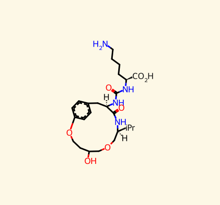 CC(C)[C@H]1COCC(O)CCOc2ccc(cc2)C[C@@H](NC(=O)N[C@@H](CCCCN)C(=O)O)C(=O)N1